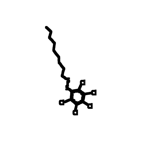 CCCCCCCCCSSc1c(Cl)c(Cl)c(Cl)c(Cl)c1Cl